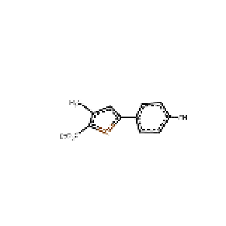 CCOC(=O)c1sc(-c2ccc(C#N)cc2)cc1C